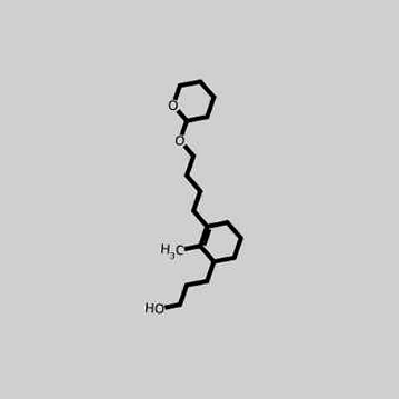 CC1=C(CCCCOC2CCCCO2)CCCC1CCCO